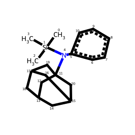 C[Si](C)(C)N(c1ccccc1)C12CC3CC(CC(C3)C1)C2